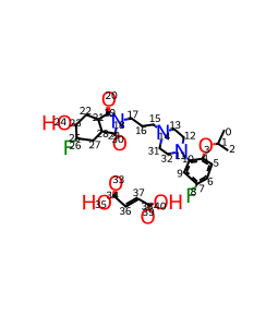 CC(C)Oc1ccc(F)cc1N1CCN(CCCN2C(=O)C3CC(O)C(F)CC3C2=O)CC1.O=C(O)C=CC(=O)O